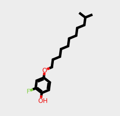 CC(C)CCCCCCCCCOc1ccc(O)c(F)c1